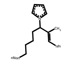 CCC/C=C(\C)C(CCCCCCCCCCCCC)n1cccc1